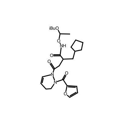 CC(C)COC(C)ONC(=O)C(CC(=O)N1C=CCCN1C(=O)c1ccco1)CC1CCCC1